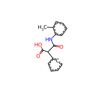 Cc1ccccc1NC(=O)C(C(=O)O)c1ccccc1